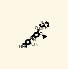 C[C@@H]1CC2(CC[C@H]1n1cc3cc(C(=O)Nc4cnn5cccnc45)c(OC4CC4)cc3n1)CNC2